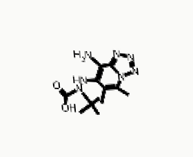 Cc1c(NN(C(=O)O)C(C)(C)C)c(N)c2nnnn2c1C